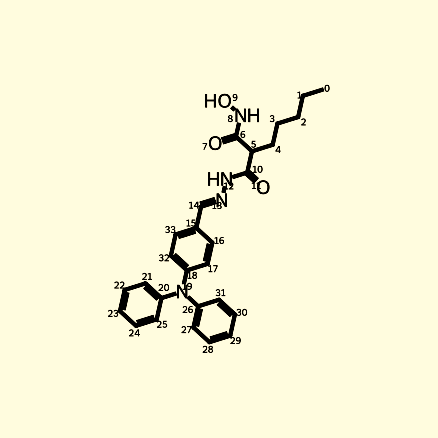 CCCCCC(C(=O)NO)C(=O)N/N=C/c1ccc(N(c2ccccc2)c2ccccc2)cc1